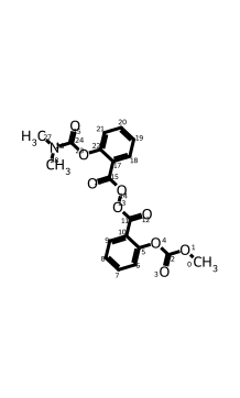 COC(=O)Oc1ccccc1C(=O)OOC(=O)c1ccccc1OC(=O)N(C)C